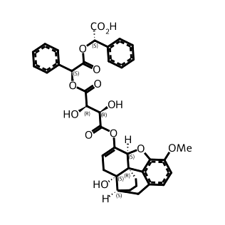 COc1ccc2c3c1O[C@@H]1C(OC(=O)[C@H](O)[C@@H](O)C(=O)O[C@H](C(=O)O[C@H](C(=O)O)c4ccccc4)c4ccccc4)=CC[C@]4(O)[C@@H](CCC[C@@]314)C2